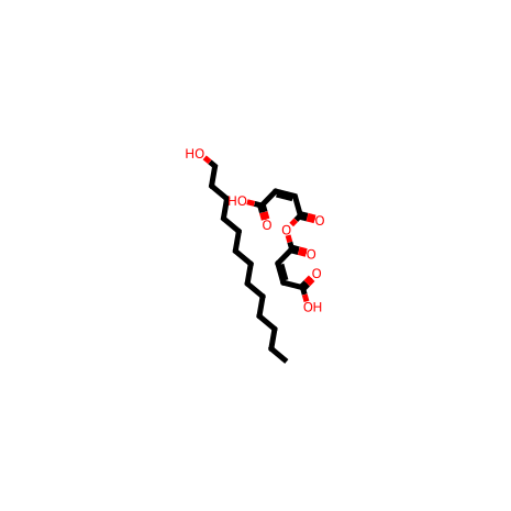 CCCCCCCCCCCCCO.O=C(O)/C=C\C(=O)OC(=O)/C=C\C(=O)O